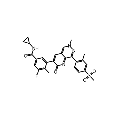 Cc1cc(S(C)(=O)=O)ccc1-c1nn(C)cc2cc(-c3cc(C(=O)NC4CC4)cc(F)c3C)c(=O)nc1-2